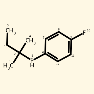 CCC(C)(C)Pc1ccc(F)cc1